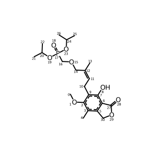 COc1c(C)c2c(c(O)c1CC=C(C)COCP(=O)(OC(C)C)OC(C)C)C(=O)OC2